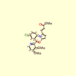 COC(=O)/C=C/c1cccn1-c1ccc(Cl)cc1C(=O)c1nccc(OC)c1OC